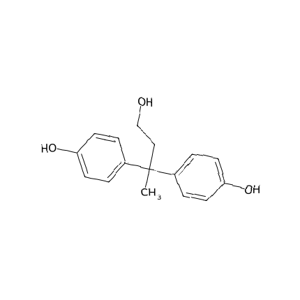 CC(CCO)(c1ccc(O)cc1)c1ccc(O)cc1